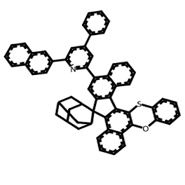 c1ccc(-c2cc(-c3ccc4ccccc4c3)nc(-c3cc4c(c5ccccc35)-c3c5c(c6ccccc6c3C43C4CC6CC(C4)CC3C6)Oc3ccccc3S5)c2)cc1